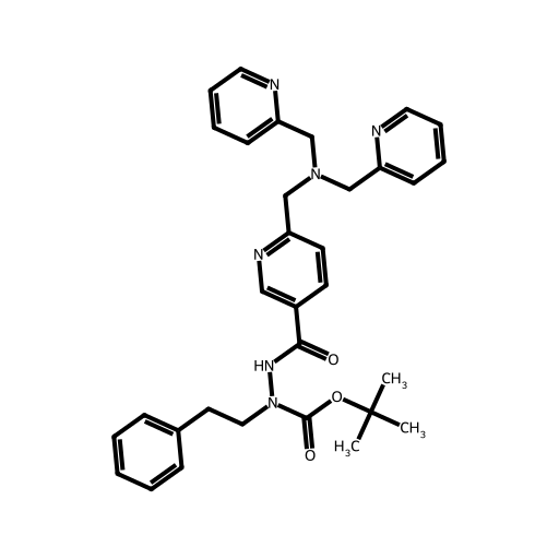 CC(C)(C)OC(=O)N(CCc1ccccc1)NC(=O)c1ccc(CN(Cc2ccccn2)Cc2ccccn2)nc1